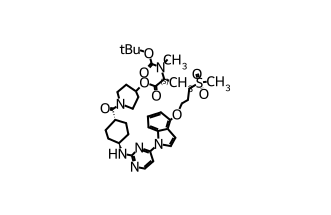 C[C@@H](C(=O)OC1CCN(C(=O)[C@H]2CC[C@H](Nc3nccc(-n4ccc5c(OCCCS(C)(=O)=O)cccc54)n3)CC2)CC1)N(C)C(=O)OC(C)(C)C